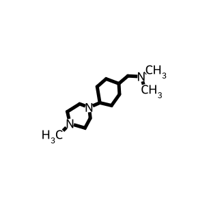 CN(C)CC1CCC(N2CCN(C)CC2)CC1